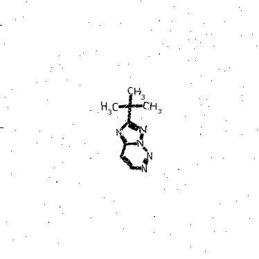 CC(C)(C)c1nc2ccnnn2n1